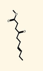 CCC=CCCC(=O)CCC(=O)OC